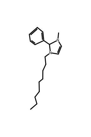 CCCCCCCCCN1C=CN(C)C1c1ccccc1